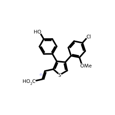 COc1cc(Cl)ccc1-c1csc(/C=C/C(=O)O)c1-c1ccc(O)cc1